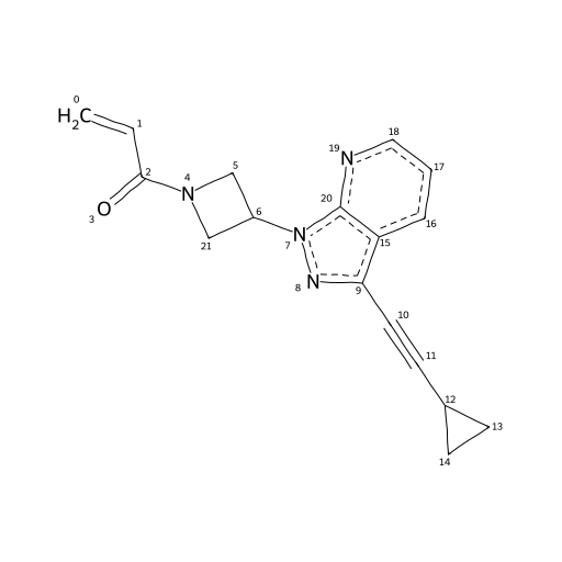 C=CC(=O)N1CC(n2nc(C#CC3CC3)c3cccnc32)C1